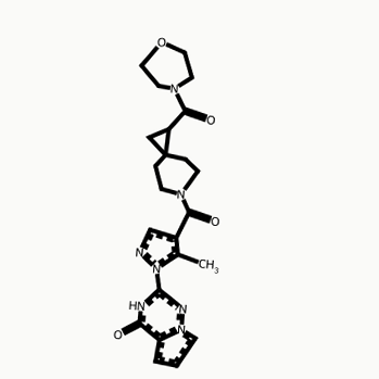 Cc1c(C(=O)N2CCC3(CC2)CC3C(=O)N2CCOCC2)cnn1-c1nn2cccc2c(=O)[nH]1